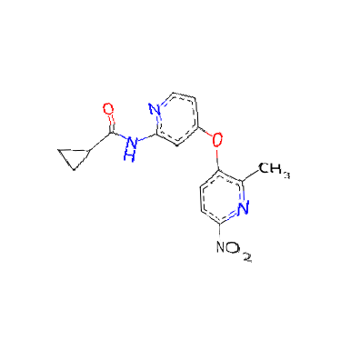 Cc1nc([N+](=O)[O-])ccc1Oc1ccnc(NC(=O)C2CC2)c1